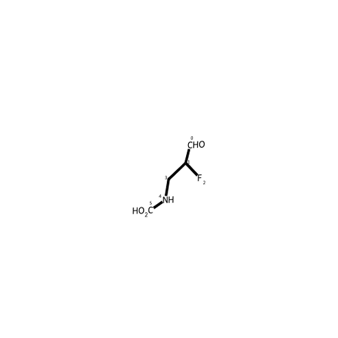 O=CC(F)CNC(=O)O